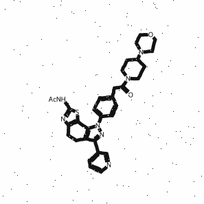 CC(=O)Nc1nc2c(s1)-c1c(c(-c3cccnc3)nn1-c1ccc(CC(=O)N3CCC(N4CCOCC4)CC3)cc1)CC2